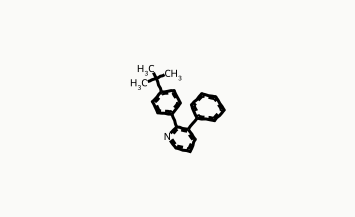 CC(C)(C)c1ccc(-c2ncccc2-c2ccccc2)cc1